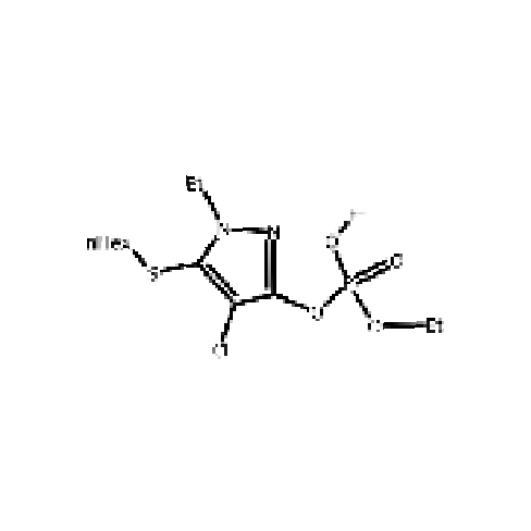 CCCCCCSc1c(Cl)c(OP(=O)(OCC)OCC)nn1CC